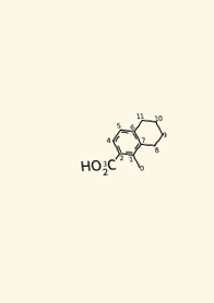 Cc1c(C(=O)O)ccc2c1CCCC2